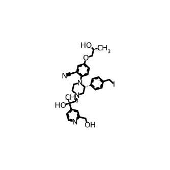 C[C@H](O)COc1ccc(N2CCN(C[C@@](C)(O)c3ccnc(CO)c3)C[C@H]2c2ccc(CI)cc2)c(C#N)c1